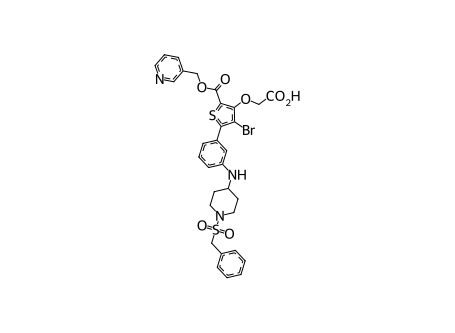 O=C(O)COc1c(C(=O)OCc2cccnc2)sc(-c2cccc(NC3CCN(S(=O)(=O)Cc4ccccc4)CC3)c2)c1Br